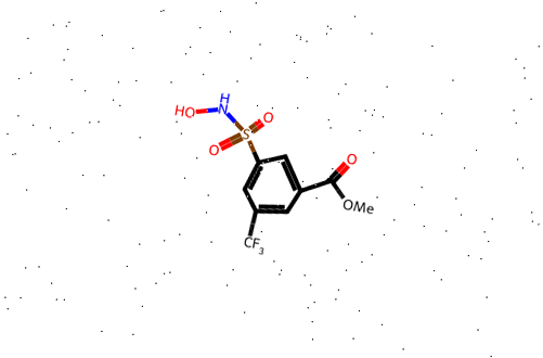 COC(=O)c1cc(C(F)(F)F)cc(S(=O)(=O)NO)c1